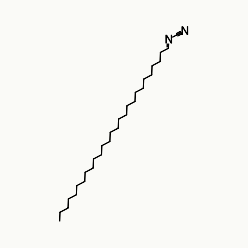 CCCCCCCCCCCCCCCCCCCCCCCCCCC=NC#N